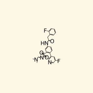 CN(C)C=NS(=O)(=O)c1cc(NC(=O)Cc2ccccc2F)ccc1-c1cncc(F)c1